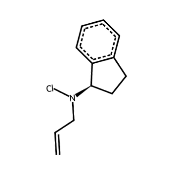 C=CCN(Cl)[C@@H]1CCc2ccccc21